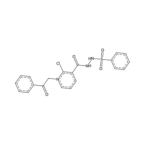 O=C(C[n+]1cccc(C(=O)NNS(=O)(=O)c2ccccc2)c1Cl)c1ccccc1